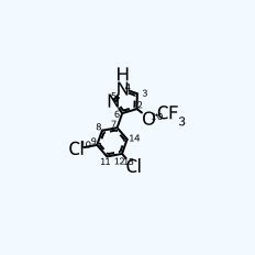 FC(F)(F)Oc1c[nH]nc1-c1cc(Cl)cc(Cl)c1